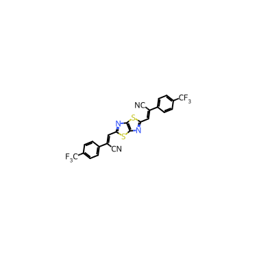 N#C/C(=C\c1nc2sc(/C=C(\C#N)c3ccc(C(F)(F)F)cc3)nc2s1)c1ccc(C(F)(F)F)cc1